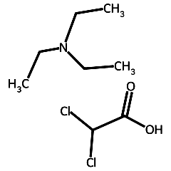 CCN(CC)CC.O=C(O)C(Cl)Cl